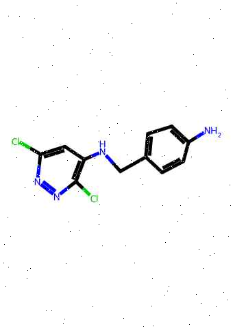 Nc1ccc(CNc2cc(Cl)nnc2Cl)cc1